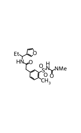 CCC(NC(=O)Cc1ccc(C)c(S(=O)(=O)NC(=O)NC)c1)c1ccoc1